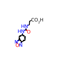 O=C(O)CCNC(=O)Nc1ccc2nonc2c1